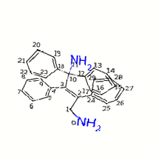 NCC(=C(c1ccccc1)C(N)(c1ccccc1)c1ccccc1)c1ccccc1